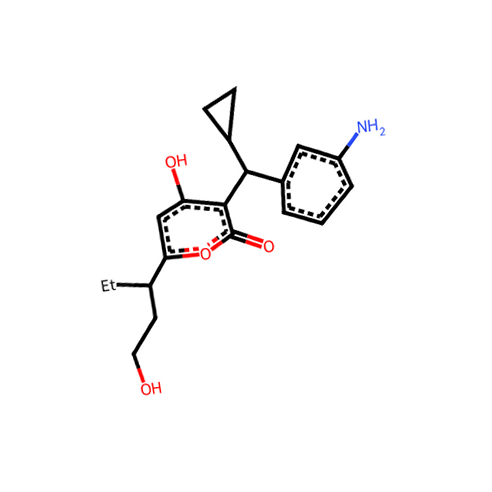 CCC(CCO)c1cc(O)c(C(c2cccc(N)c2)C2CC2)c(=O)o1